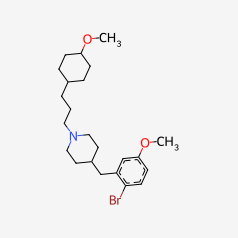 COc1ccc(Br)c(CC2CCN(CCCC3CCC(OC)CC3)CC2)c1